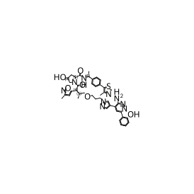 Cc1cc([C@@H](C(=O)N2C[C@H](O)C[C@H]2C(=O)N[C@@H](C)c2ccc(-c3scnc3C)cc2)[C@H](C)COCCCn2cc(-c3cc(-c4ccccc4O)nnc3N)cn2)on1